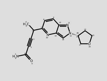 CC(C#CC(N)=O)c1ccc2nn([C@@H]3CCOC3)cc2n1